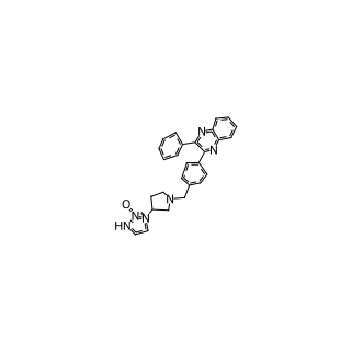 O=[n+]1[nH]ccn1C1CCN(Cc2ccc(-c3nc4ccccc4nc3-c3ccccc3)cc2)C1